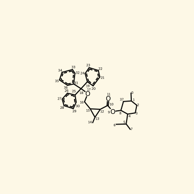 CC1CCC(C(C)C)C(OC(=O)C2C(C)C2COC(c2ccccc2)(c2ccccc2)c2ccccc2)C1